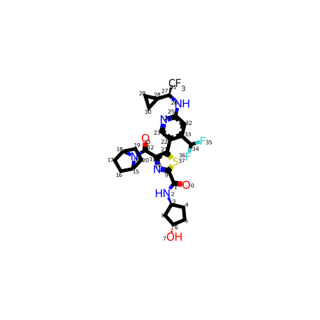 O=C(N[C@H]1CC[C@H](O)C1)c1nc(C(=O)N2C3CCC2CC3)c(-c2cnc(N[C@@H](C3CC3)C(F)(F)F)cc2C(F)F)s1